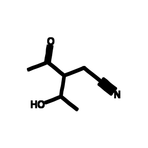 CC(=O)C(CC#N)C(C)O